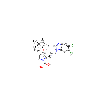 CC(C)(C)[Si](C)(C)O[C@H]1CCN(C(=O)O)[C@@H]1/C=C/Cn1cnc2cc(Cl)c(Cl)cc21